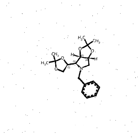 CC1(C)O[C@H]2[C@H]([C@H]3COC(C)(C)O3)N(Cc3ccccc3)C[C@H]2O1